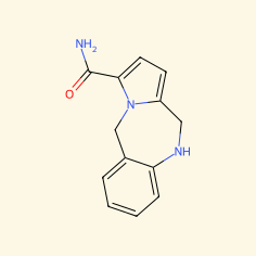 NC(=O)c1ccc2n1Cc1ccccc1NC2